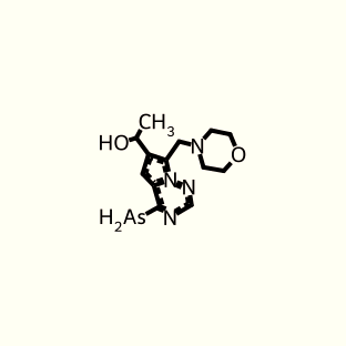 CC(O)c1cc2c([AsH2])ncnn2c1CN1CCOCC1